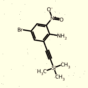 C[Si](C)(C)C#Cc1cc(Br)cc([N+](=O)[O-])c1N